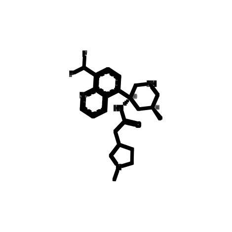 C[C@@H]1CNC[C@](NC(=O)CC2CCN(C)C2)(c2ccc(C(F)F)c3ncccc23)C1